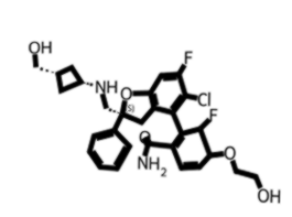 NC(=O)C1=C(c2c(Cl)c(F)cc3c2C[C@@](CN[C@H]2C[C@@H](CO)C2)(c2ccccc2)O3)C(F)C(OCCO)C=C1